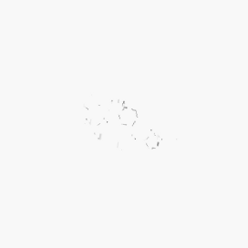 CN1C(=O)C(C)(C)[C@@](C)(c2cc(N(C)c3nn(C(F)F)cc3Cl)ccc2F)N=C1N